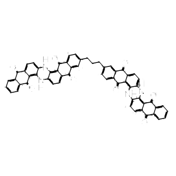 O=c1c2ccccc2c(=O)c2c1ccc1[nH]c3c(ccc4c(=O)c5cc(CCCc6ccc7c(=O)c8c(ccc9[nH]c%10c(ccc%11c(=O)c%12ccccc%12c(=O)c%11%10)[nH]c98)c(=O)c7c6)ccc5c(=O)c43)[nH]c12